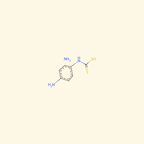 N.Nc1ccc(NC(=S)S)cc1